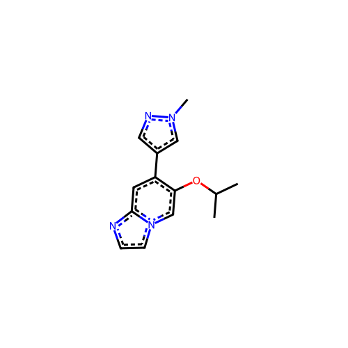 CC(C)Oc1cn2ccnc2cc1-c1cnn(C)c1